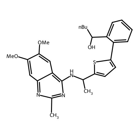 CCCCC(O)c1ccccc1-c1ccc(C(C)Nc2nc(C)nc3cc(OC)c(OC)cc23)s1